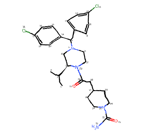 CC(C)[C@H]1CN(C(c2ccc(Cl)cc2)c2ccc(Cl)cc2)CCN1C(=O)CC1CCN(C(N)=O)CC1